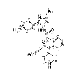 CCCCC#CC(=O)C(c1ccccc1NC(=O)Nc1cc(C(C)(C)C)nn1-c1ccc(C)cc1)C1CCNCC1